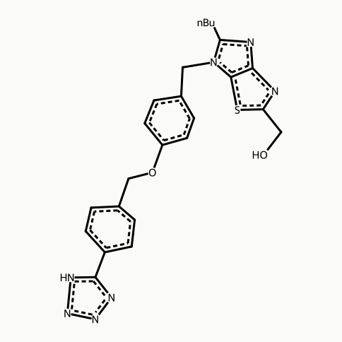 CCCCc1nc2nc(CO)sc2n1Cc1ccc(OCc2ccc(-c3nnn[nH]3)cc2)cc1